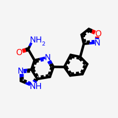 NC(=O)c1nc(-c2cccc(-c3ccon3)c2)cc2[nH]cnc12